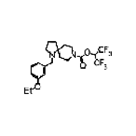 CCOc1cccc(CN2CCCC23CCN(C(=O)OC(C(F)(F)F)C(F)(F)F)CC3)c1